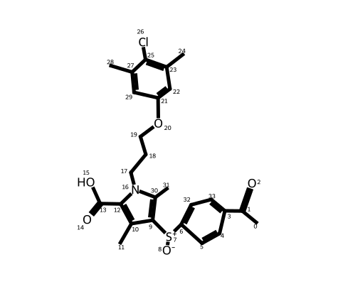 CC(=O)c1ccc([S+]([O-])c2c(C)c(C(=O)O)n(CCCOc3cc(C)c(Cl)c(C)c3)c2C)cc1